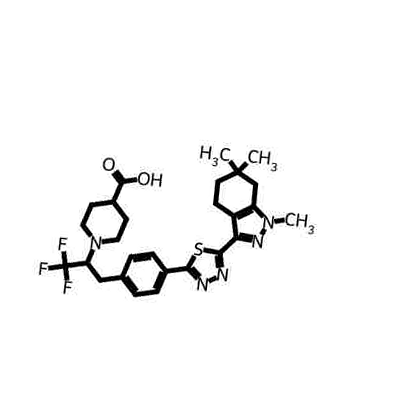 Cn1nc(-c2nnc(-c3ccc(CC(N4CCC(C(=O)O)CC4)C(F)(F)F)cc3)s2)c2c1CC(C)(C)CC2